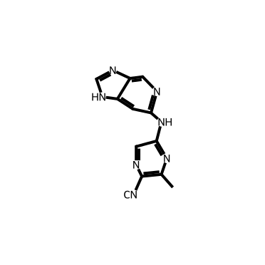 [C-]#[N+]c1ncc(Nc2cc3[nH]cnc3cn2)nc1C